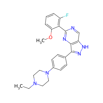 CCN1CCN(c2ccc(-c3n[nH]c4cnc(-c5c(F)cccc5OC)nc34)cc2)CC1